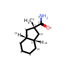 C[C@]1(C(N)=O)C[C@H]2CCCC[C@H]2C1